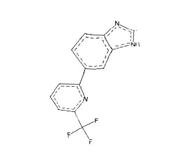 FC(F)(F)c1cccc(-c2ccc3n[c][nH]c3c2)n1